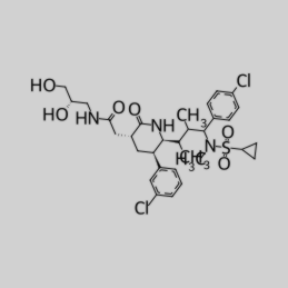 CC(C(C)[C@@H]1NC(=O)[C@@H](CC(=O)NC[C@H](O)CO)C[C@@H]1c1cccc(Cl)c1)C(c1ccc(Cl)cc1)N(C)S(=O)(=O)C1CC1